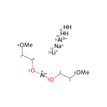 COCC[O][Al+][O]CCOC.[Al+3].[HH].[HH].[Li+].[Na+]